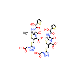 O=C(O)Cn1nnnc1SCC1=C(C(=O)[O-])N2C(=O)C(NC(=O)C(O)c3cccs3)[C@H]2SC1.O=C(O)Cn1nnnc1SCC1=C(C(=O)[O-])N2C(=O)C(NC(=O)C(O)c3cccs3)[C@H]2SC1.[K+].[K+]